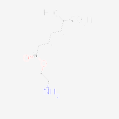 CC(CCCCC(=O)OCCN)C(=O)O